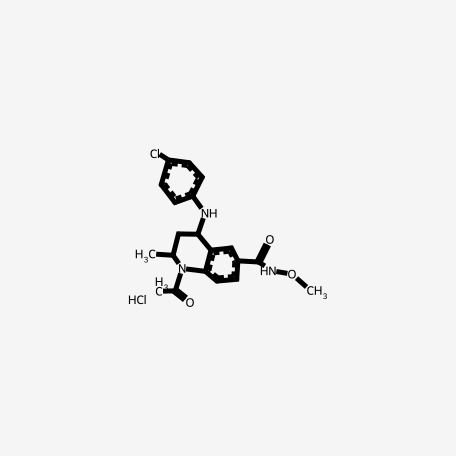 CONC(=O)c1ccc2c(c1)C(Nc1ccc(Cl)cc1)CC(C)N2C(C)=O.Cl